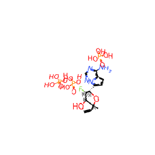 C=C[C@@]1(C)O[C@@H](c2ccc3c(N)ncnn23)[C@H](F)[C@@H]1O.O=P(O)(O)O.O=P(O)(O)O.O=P(O)(O)O